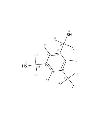 Cc1c(C(C)(C)C)c(C)c(C(C)(C)S)c(C)c1C(C)(C)S